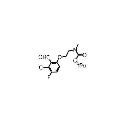 CN(CCOc1ccc(F)c(Cl)c1C=O)C(=O)OC(C)(C)C